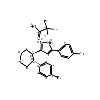 Fc1ccc(-c2cc([C@@H]3CCNC[C@H]3c3ccc(F)cc3)n[nH]2)cc1.O=C(O)C(F)(F)F